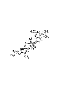 Cc1nc(N(C)C)c2ncn([C@@H]3O[C@]4(CCl)COP(=O)(N[C@@H](C)C(=O)OC(C)C)O[C@H]4[C@@H]3F)c2n1